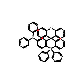 c1ccc(N(c2ccccc2)c2ccc3c(c2)C2(c4ccccc4Sc4ccccc42)c2ccccc2[Si]3(c2ccccc2)c2ccccc2)cc1